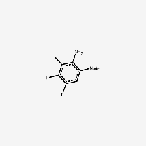 CNc1cc(F)c(F)c(C)c1N